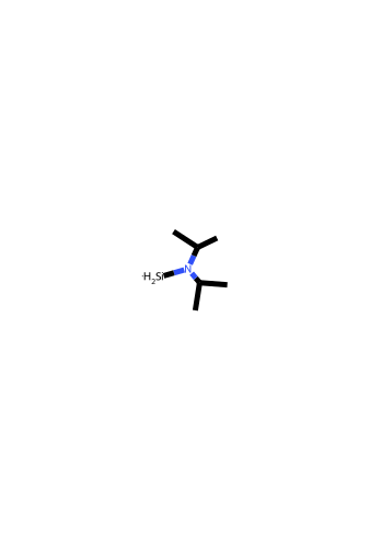 CC(C)N([SiH2])C(C)C